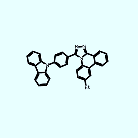 CCc1ccc2c(c1)c1ccccc1c1nnc(-c3ccc(-n4c5ccccc5c5ccccc54)cc3)n21